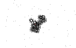 C1=CC(c2ccccc2)CC=C1N(c1ccc(-c2cccc3oc4ccccc4c23)cc1)c1cccc2c1-c1ccccc1C21c2ccccc2-c2ccccc21